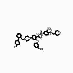 O=C(NS(=O)(=O)c1ccc(NCC2CCOCC2)c([N+](=O)[O-])c1)c1ccc(N2CCN(Cc3ccccc3-c3ccc(Cl)cc3)CC2)cc1Oc1cccc([N+](=O)[O-])c1